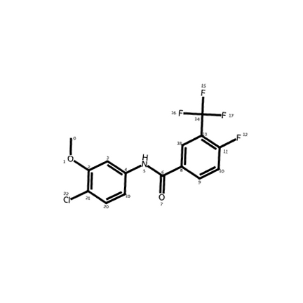 COc1cc(NC(=O)c2ccc(F)c(C(F)(F)F)c2)ccc1Cl